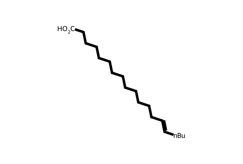 CCCCC=CCCCCCCCCCCCCC(=O)O